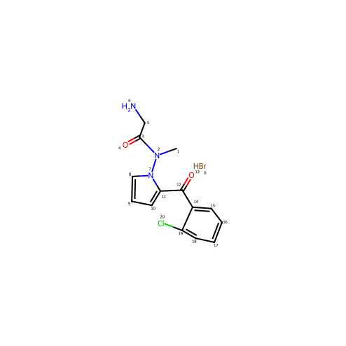 Br.CN(C(=O)CN)n1cccc1C(=O)c1ccccc1Cl